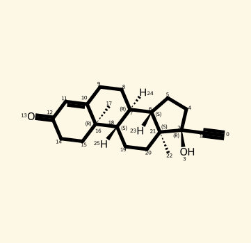 C#C[C@@]1(O)CC[C@H]2[C@@H]3CCC4=CC(=O)CC[C@]4(C)[C@H]3CC[C@@]21C